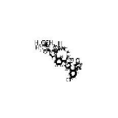 CC(C)(C)OC(=O)N1CCN2c3cccc(c3)[C@@H](N3CCC(c4cc(Cl)ccc4-n4cc(Cl)nn4)=CC3=O)CCCCCNC(=O)[C@H]2C1